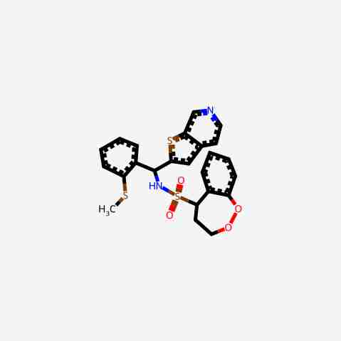 CSc1ccccc1C(NS(=O)(=O)C1CCOOc2ccccc21)c1cc2ccncc2s1